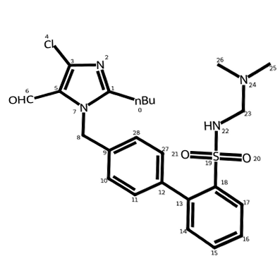 CCCCc1nc(Cl)c(C=O)n1Cc1ccc(-c2ccccc2S(=O)(=O)NCN(C)C)cc1